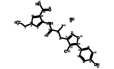 CCn1cc(NC(=O)C(F)Cc2noc(-c3ccc(O)cc3)c2Cl)c(C(=O)O)c1.[KH]